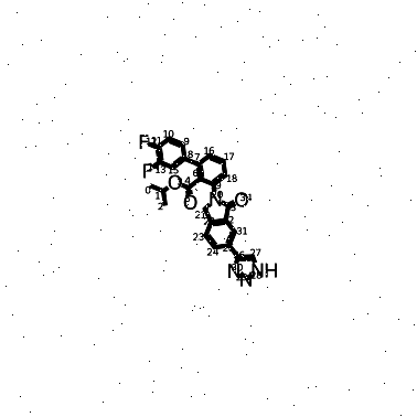 CC(C)OC(=O)c1c(-c2ccc(F)c(F)c2)cccc1N1Cc2ccc(-c3c[nH]nn3)cc2C1=O